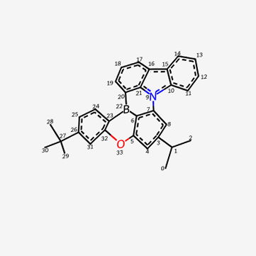 CC(C)c1cc2c3c(c1)-n1c4ccccc4c4cccc(c41)B3c1ccc(C(C)(C)C)cc1O2